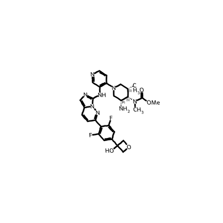 COC(=O)N(C)[C@@H]1[C@H](N)CN(c2ccncc2Nc2ncc3ccc(-c4c(F)cc(C5(O)COC5)cc4F)nn23)C[C@@H]1C